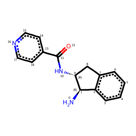 N[C@@H]1c2ccccc2C[C@H]1NC(=O)c1ccncc1